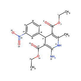 CCOC(=O)C1=C(C)NC(N)=C(C(=O)OCC)C1c1cccc([N+](=O)[O-])c1